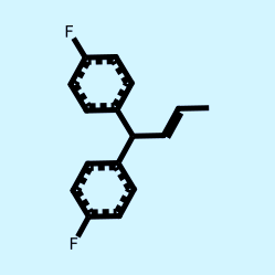 CC=CC(c1ccc(F)cc1)c1ccc(F)cc1